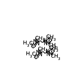 Cc1ncc(C)n2nc(CCc3nc(N4CCC[C@@H]4C)nn3C)nc12.Cc1ncc(C)n2nc(CCc3nc(N4CCC[C@H]4C)nn3C)nc12